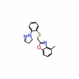 Cc1cccc2oc(CSc3ccccc3N3CCC=N3)nc12